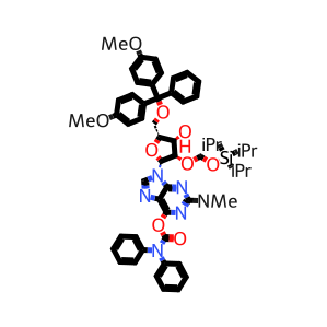 CNc1nc(OC(=O)N(c2ccccc2)c2ccccc2)c2ncn([C@@H]3O[C@H](COC(c4ccccc4)(c4ccc(OC)cc4)c4ccc(OC)cc4)[C@@H](O)[C@H]3OCO[Si](C(C)C)(C(C)C)C(C)C)c2n1